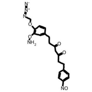 [N-]=[N+]=NCOc1ccc(CCC(=O)CC(=O)CCc2ccc(N=O)cc2)cc1ON